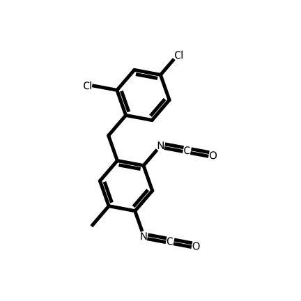 Cc1cc(Cc2ccc(Cl)cc2Cl)c(N=C=O)cc1N=C=O